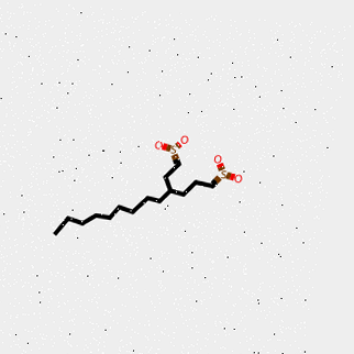 CCCCCCCCCC(CC=S(=O)=O)CCC=S(=O)=O